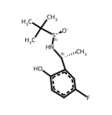 C[C@@H](N[S@+]([O-])C(C)(C)C)c1cc(F)ccc1O